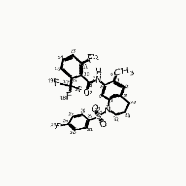 Cc1cc2c(cc1NC(=O)c1c(F)cccc1C(F)(F)F)N(S(=O)(=O)c1ccc(F)cc1)CCC2